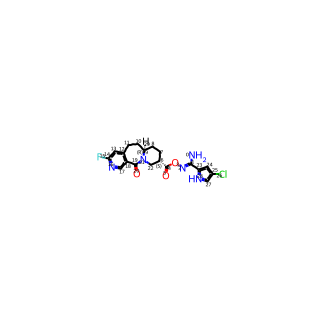 NC(=NOC(=O)[C@H]1CC[C@@H]2CCc3cc(F)ncc3C(=O)N2C1)c1cc(Cl)c[nH]1